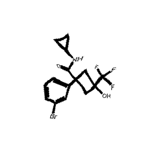 O=C(NC1CC1)C1(c2cccc(Br)c2)CC(O)(C(F)(F)F)C1